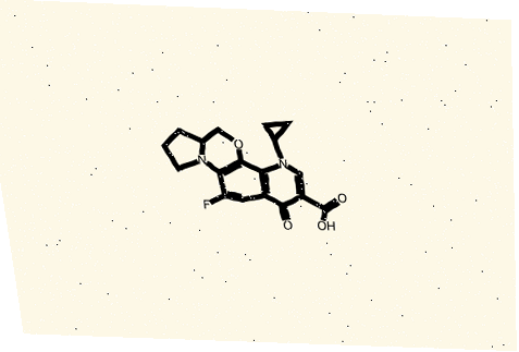 O=C(O)c1cn(C2CC2)c2c3c(c(F)cc2c1=O)N1CCCC1CO3